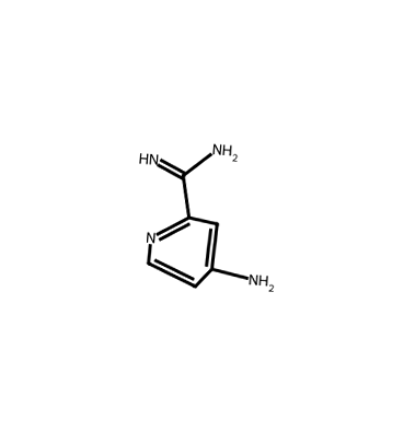 N=C(N)c1cc(N)ccn1